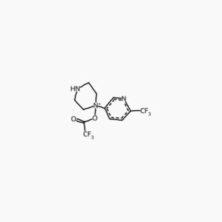 O=C(O[N+]1(c2ccc(C(F)(F)F)nc2)CCNCC1)C(F)(F)F